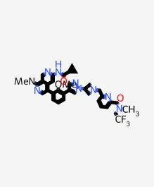 CNc1ncc(-c2cccc(-c3cnn(C4CN(Cc5cccc(C(=O)N(C)CC(F)(F)F)n5)C4)c3)c2OC)c2cc(NC(=O)C3CC3)ncc12